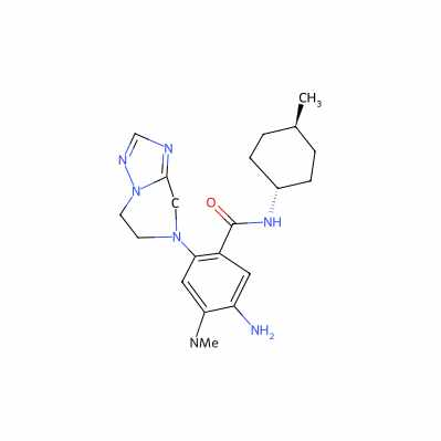 CNc1cc(N2CCn3ncnc3C2)c(C(=O)N[C@H]2CC[C@H](C)CC2)cc1N